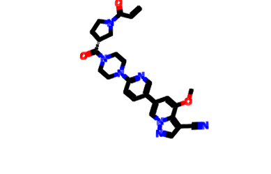 C=CC(=O)N1CC[C@@H](C(=O)N2CCN(c3ccc(-c4cc(OC)c5c(C#N)cnn5c4)cn3)CC2)C1